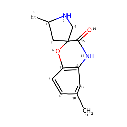 CCC1CC2(CN1)Oc1ccc(C)cc1NC2=O